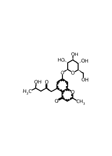 Cc1cc(=O)c2c(CC(=O)CC(C)O)cc(O[C@@H]3O[C@H](CO)[C@@H](O)[C@H](O)[C@H]3O)cc2o1